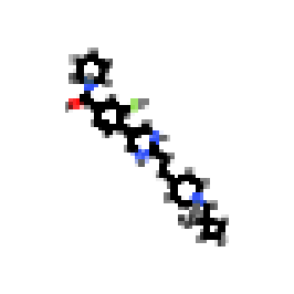 O=C(c1ccc(-c2cnc(CCC3CCN(CC4(C(F)(F)F)CCC4)CC3)nc2)c(F)c1)N1CCCCC1